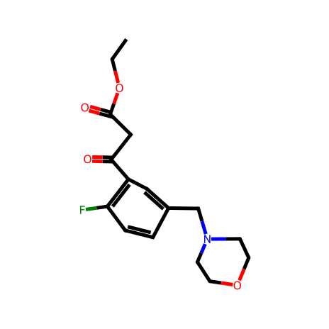 CCOC(=O)CC(=O)c1cc(CN2CCOCC2)ccc1F